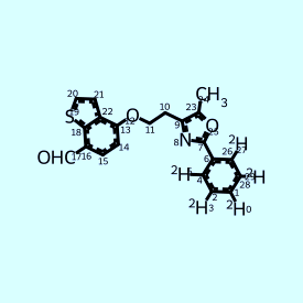 [2H]c1c([2H])c([2H])c(-c2nc(CCOc3ccc(C=O)c4sccc34)c(C)o2)c([2H])c1[2H]